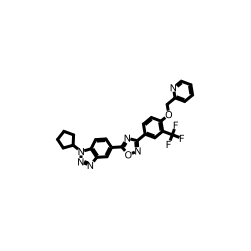 FC(F)(F)c1cc(-c2noc(-c3ccc4c(c3)nnn4C3CCCC3)n2)ccc1OCc1ccccn1